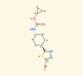 O=C(N[C@H]1CC[C@H](c2ncc(Br)s2)CC1)OC1CC1